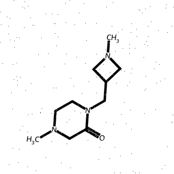 CN1CCN(CC2CN(C)C2)C(=O)C1